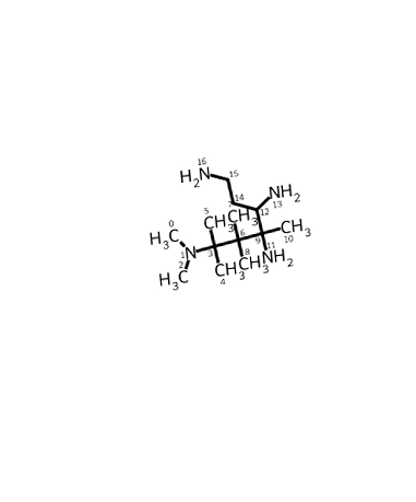 CN(C)C(C)(C)C(C)(C)C(C)(N)C(N)CCN